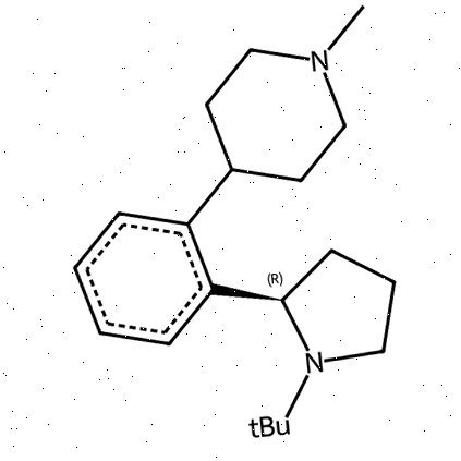 CN1CCC(c2ccccc2[C@H]2CCCN2C(C)(C)C)CC1